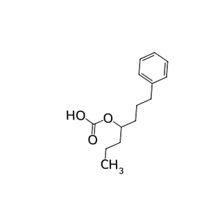 CCCC(CCCc1ccccc1)OC(=O)O